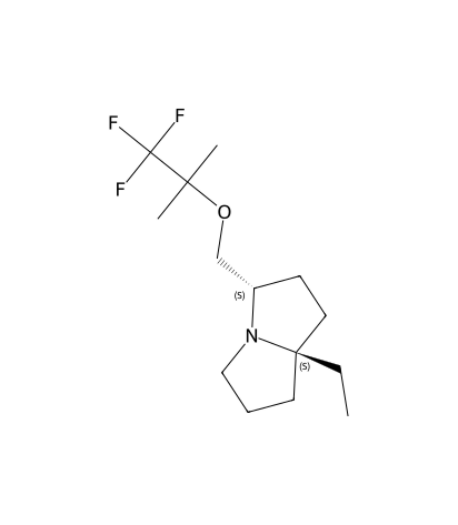 CC[C@@]12CCCN1[C@H](COC(C)(C)C(F)(F)F)CC2